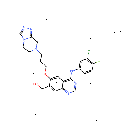 OCc1cc2ncnc(Nc3ccc(F)c(Cl)c3)c2cc1OCCCN1CCn2cnnc2C1